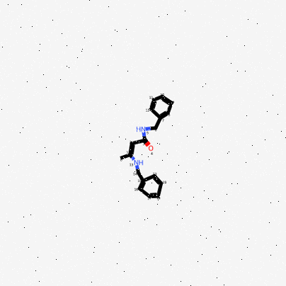 CC(=CC(=O)NCc1ccccc1)NCc1ccccc1